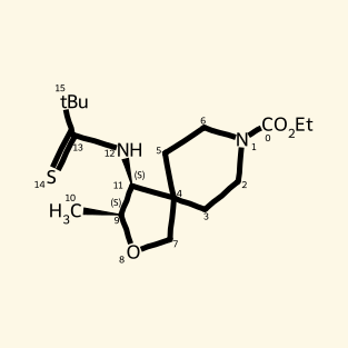 CCOC(=O)N1CCC2(CC1)CO[C@@H](C)[C@H]2NC(=S)C(C)(C)C